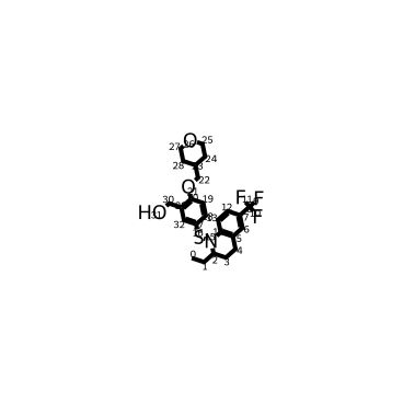 CCC1CCc2cc(C(F)(F)F)ccc2N1Sc1ccc(OCC2CCOCC2)c(CO)c1